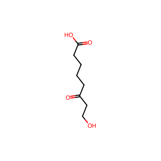 O=C(O)CCCCC(=O)CCO